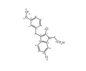 O=C(O)Cn1c(Cl)c(Cc2cccc(OC(F)(F)F)c2)c2ccc(Cl)cc21